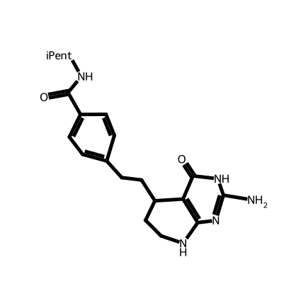 CCCC(C)NC(=O)c1ccc(CCC2CCNc3nc(N)[nH]c(=O)c32)cc1